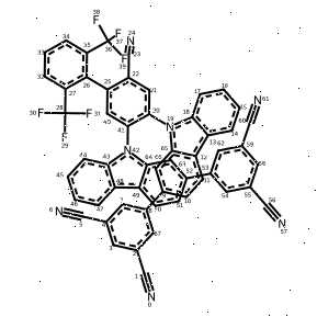 N#Cc1cc(C#N)cc(-c2ccc3c4ccccc4n(-c4cc(C#N)c(-c5c(C(F)(F)F)cccc5C(F)(F)F)cc4-n4c5ccccc5c5ccc(-c6cc(C#N)cc(C#N)c6)cc54)c3c2)c1